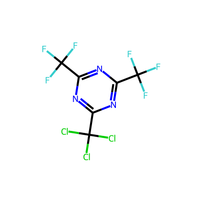 FC(F)(F)c1nc(C(F)(F)F)nc(C(Cl)(Cl)Cl)n1